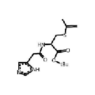 C=C(C)SCC(NC(=O)Cc1cnc[nH]1)C(=O)OC(C)(C)C